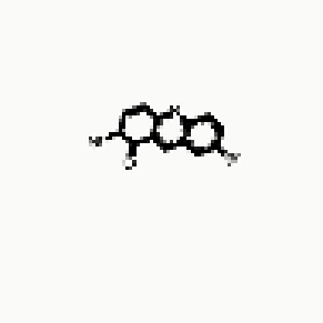 O=C1c2cc3cc(Br)ccc3nc2C=CC1Br